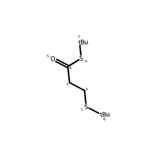 CC(C)(C)SCCC(=O)SC(C)(C)C